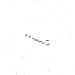 CC(C)(C)OC(=O)NCCCCCCN1CC[N]CC1